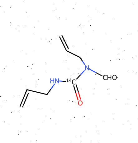 C=CCN[14C](=O)N([C]=O)CC=C